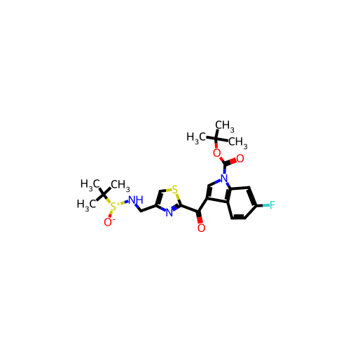 CC(C)(C)OC(=O)n1cc(C(=O)c2nc(CN[S+]([O-])C(C)(C)C)cs2)c2ccc(F)cc21